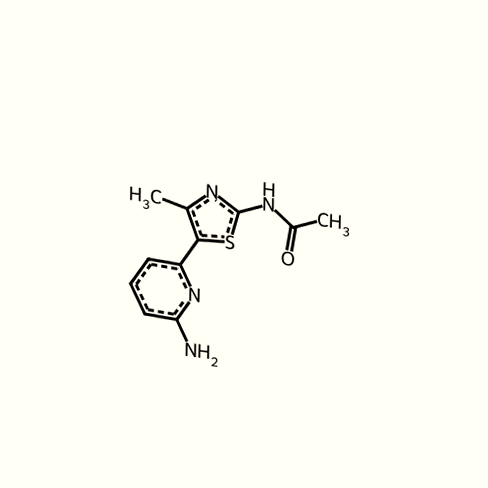 CC(=O)Nc1nc(C)c(-c2cccc(N)n2)s1